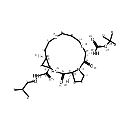 CC(C)CONC(=O)[C@@]12C[C@H]1CCCCCCC[C@H](NC(=O)OC(C)(C)C)C(=O)N1CCC[C@H]1C(=O)N2